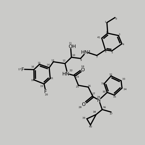 CCc1cccc(CNCC(O)C(Cc2cc(F)cc(F)c2)NC(=O)CCC(=O)N(c2ccccc2)C(C)C2CC2)c1